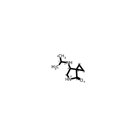 CC(C)NC1CNC(=O)C12CC2